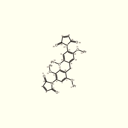 CC(C)Oc1cc(N2C(=O)C=CC2=O)c(OC(C)C)cc1Cc1cc(OC(C)C)c(N2C(=O)C=CC2=O)cc1OC(C)C